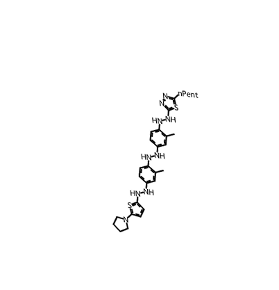 CCCCCc1nnc(NNc2ccc(NNc3ccc(NNc4ccc(N5CCCC5)s4)cc3C)cc2C)s1